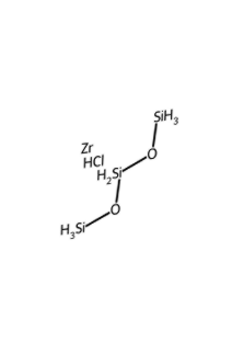 Cl.[SiH3]O[SiH2]O[SiH3].[Zr]